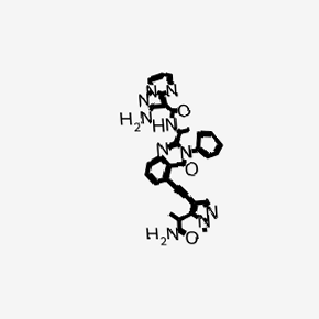 CC(NC(=O)c1c(N)nn2cccnc12)c1nc2cccc(C#Cc3cnn(C)c3C(C)C(N)=O)c2c(=O)n1-c1ccccc1